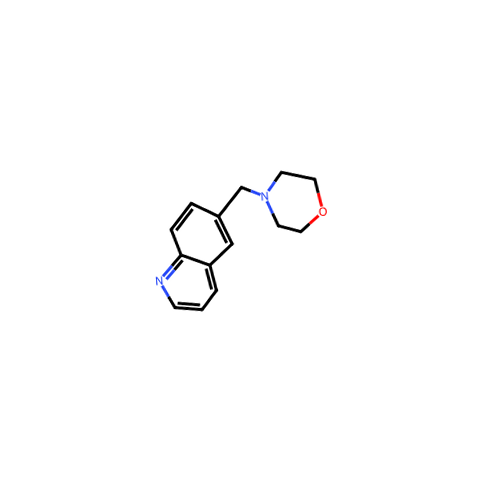 c1cnc2ccc(CN3CCOCC3)cc2c1